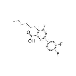 CCCCCCc1c(C)cc(-c2ccc(F)c(F)c2)nc1C(=O)O